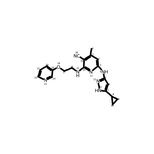 Cc1cc(Nc2cc(C3CC3)[nH]n2)nc(NCCOc2cccnc2)c1C#N